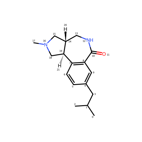 CC(C)Cc1ccc2c(c1)C(=O)NC[C@H]1CN(C)C[C@H]21